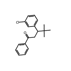 CC(C)(C)C(CC(=O)c1ccccc1)c1cccc(Cl)c1